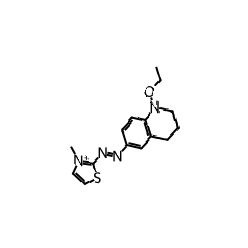 CCON1CCCc2cc(/N=N/c3scc[n+]3C)ccc21